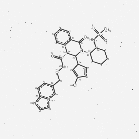 CS(=O)(=O)N[C@H]1CCCC[C@@H]1N1C(=O)c2ccccc2[C@@H](C(=O)NOCc2ccc3nccn3c2)C1C1C=CC(Cl)=C1